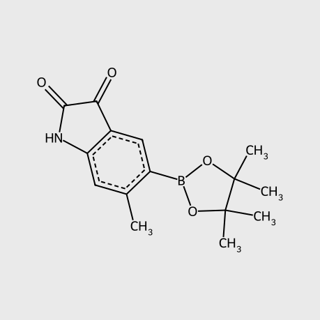 Cc1cc2c(cc1B1OC(C)(C)C(C)(C)O1)C(=O)C(=O)N2